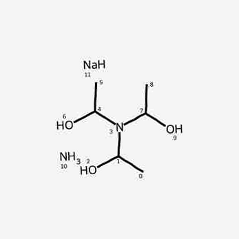 CC(O)N(C(C)O)C(C)O.N.[NaH]